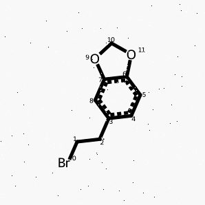 BrC[CH]c1ccc2c(c1)OCO2